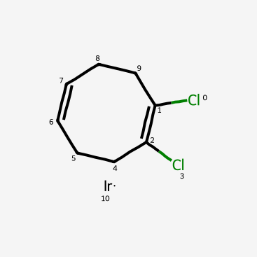 ClC1=C(Cl)CCC=CCC1.[Ir]